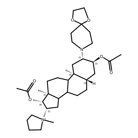 CC(=O)O[C@H]1C[C@@H]2CCC3C4C[C@H]([N+]5(C)CCCC5)[C@H](OC(C)=O)[C@@]4(C)CCC3[C@@]2(C)C[C@@H]1N1CCC2(CC1)OCCO2